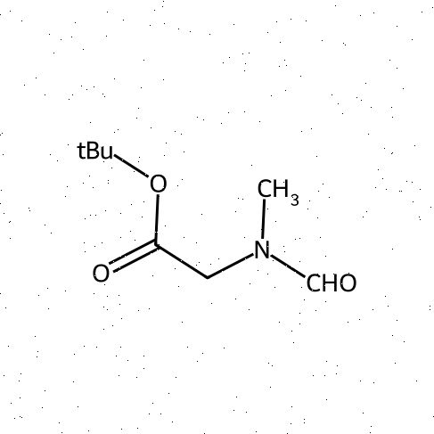 CN(C=O)CC(=O)OC(C)(C)C